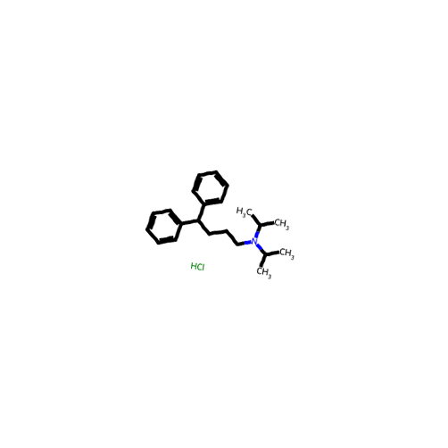 CC(C)N(CCCC(c1ccccc1)c1ccccc1)C(C)C.Cl